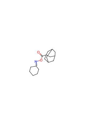 O=C(ON=C1CCCCC1)C12CC3CC(CC(C3)C1)C2